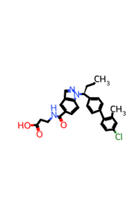 CCC[C@@H](c1ccc(-c2ccc(Cl)cc2C)cc1)n1ncc2cc(C(=O)NCCC(=O)O)ccc21